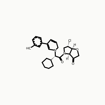 [CH]c1cccc(C2=CN([C@H](C(=O)N3C[C@H](Cl)[C@H]4OCC(=O)[C@H]43)C3CCCCC3)CC=C2)c1